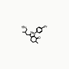 CC(Cc1nn(-c2ccc(C(C)C)cc2)c2c1CCC(C)C2=O)CC(C)(C)C